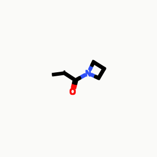 C[CH]C(=O)N1CCC1